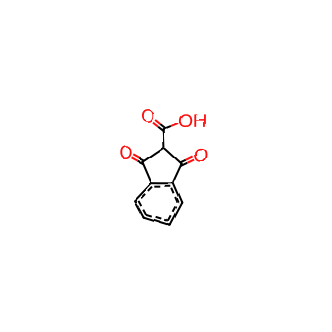 O=C(O)C1C(=O)c2ccccc2C1=O